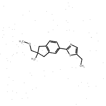 CCc1cnc(-c2ccc3c(c2)CC(C)(COC)C3)s1